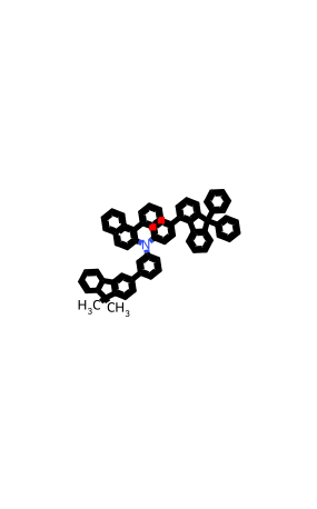 CC1(C)c2ccc(-c3cccc(N(c4ccc(-c5cccc6c5-c5ccccc5C6(c5ccccc5)c5ccccc5)cc4)c4ccc5ccccc5c4-c4ccccc4)c3)cc2C2C=CC=CC21